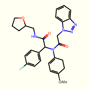 COC1=CC=C(N(C(=O)Cn2nnc3ccccc32)C(C(=O)NCC2CCCO2)c2ccc(F)cc2)CC1